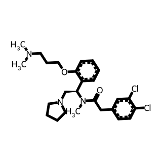 CN(C)CCCOc1ccccc1[C@H](CN1CCCC1)N(C)C(=O)Cc1ccc(Cl)c(Cl)c1